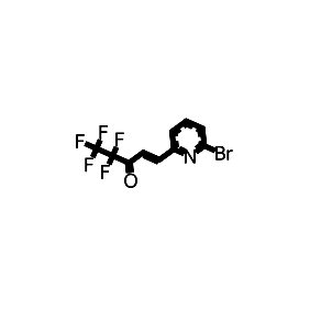 O=C(C=Cc1cccc(Br)n1)C(F)(F)C(F)(F)F